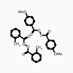 COc1ccc(C(=O)OOC(=O)c2ccc(OC)cc2)cc1.Cc1ccccc1C(=O)OOC(=O)c1ccccc1C